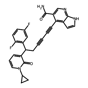 NC(=O)c1cnc2[nH]ccc2c1C#CC#CCC(c1cc(F)ccc1F)c1cccn(C2CC2)c1=O